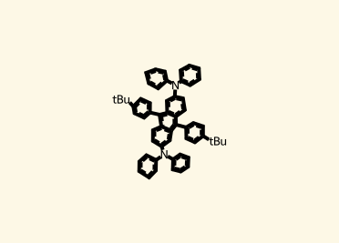 CC(C)(C)c1ccc(-c2c3ccc(N(c4ccccc4)c4ccccc4)cc3c(-c3ccc(C(C)(C)C)cc3)c3ccc(N(c4ccccc4)c4ccccc4)cc23)cc1